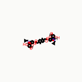 Cc1ccc(OC(=O)Cc2ccc3c(C)c(CC(=O)Oc4ccc5c6c4O[C@H]4C(=O)CC[C@@]7(O)[C@@H](C5)N(CC5CC5)CC[C@]647)ccc3c2C)c2c1[C@]13CCN(CC4CC4)[C@H](C)[C@]1(O)CCC(=O)[C@@H]3O2